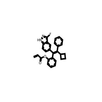 C=CC(=O)Oc1ccccc1/C(=C(/c1ccccc1)C1CCC1)c1ccc2[nH]nc(F)c2c1